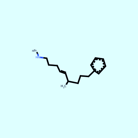 CCCNCCC/C=C/C(C)CCCc1ccccc1